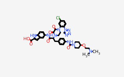 CN(C)CCOC1CCN(C(=O)Nc2ccc(CC(C(=O)Nc3ccc4[nH]c(C(=O)O)cc4c3)N3CCN(c4cc(Cl)ccc4-n4cnnn4)C(=O)C3=O)cc2)CC1